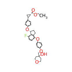 CCOC(=O)[C@H]1C[C@@H]1c1ccc(O[C@@H]2CCc3c(Oc4ccc(OCC5(O)CCOCC5)cc4)ccc(F)c32)cc1